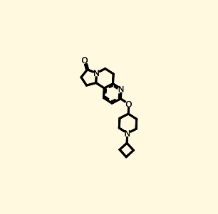 O=C1CCC2c3ccc(OC4CCN(C5CCC5)CC4)nc3CCN12